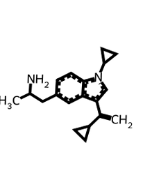 C=C(c1cn(C2CC2)c2ccc(CC(C)N)cc12)C1CC1